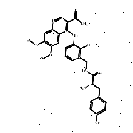 CCOc1cc2ncc(C(N)=O)c(Nc3cccc(CNC(=O)[C@@H](N)Cc4ccc(O)cc4)c3CC)c2cc1OCC